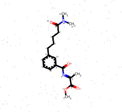 COC(=O)/C(C)=N/C(=O)c1cccc(CCCCC(=O)N(C)C)c1